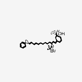 CC(C)(C)[Si](C)(C)OC(/C=C/C1CCCC(O)(CC(=O)O)C1)CCCCCCCCCCOc1ccccc1